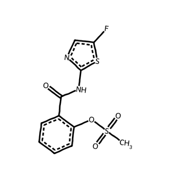 CS(=O)(=O)Oc1ccccc1C(=O)Nc1ncc(F)s1